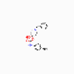 CC(C)(C)c1ccc(NC(=O)OC2(O)CCN(Cc3ccccc3)CC2)cc1